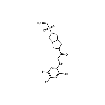 C=CS(=O)(=O)N1CC2CN(C(=O)CNc3cc(I)c(Cl)cc3O)CC2C1